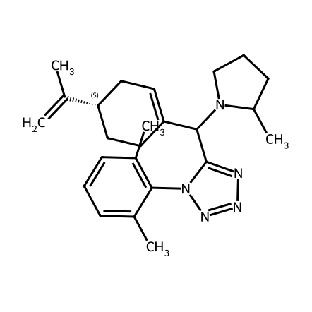 C=C(C)[C@@H]1CC=C(C(c2nnnn2-c2c(C)cccc2C)N2CCCC2C)CC1